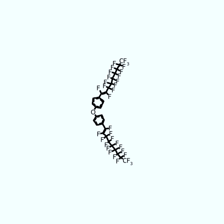 FC(=C(F)C(F)(F)C(F)(F)C(F)(F)C(F)(F)C(F)(F)C(F)(F)C(F)(F)F)c1ccc(Oc2ccc(C(F)=C(F)C(F)(F)C(F)(F)C(F)(F)C(F)(F)C(F)(F)C(F)(F)C(F)(F)F)cc2)cc1